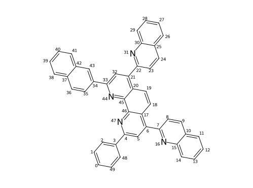 c1ccc(-c2cc(-c3ccc4ccccc4n3)c3ccc4c(-c5ccc6ccccc6n5)cc(-c5ccc6ccccc6c5)nc4c3n2)cc1